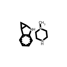 CN1CCNCC1.c1ccc2c(c1)NC1CC21